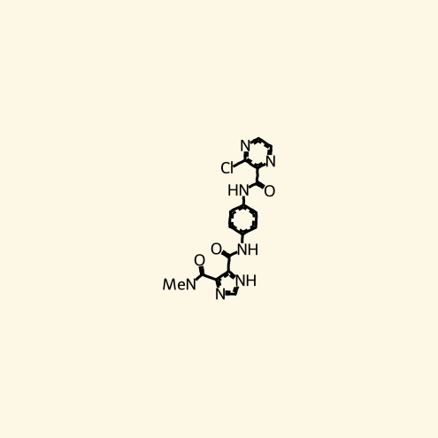 CNC(=O)c1nc[nH]c1C(=O)Nc1ccc(NC(=O)c2nccnc2Cl)cc1